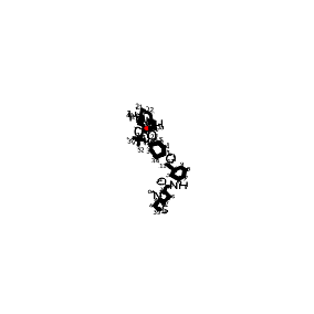 Cn1c(C(=O)Nc2cccc(COc3ccc(O[C@@H]4C[C@H]5CC[C@@H](C4)N5C(=O)OC(C)(C)C)cc3)c2)cc2sccc21